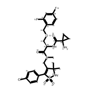 CN(CC1=C(c2ccc(Cl)cc2)S(=O)(=O)NC1(C)C)C(=O)[C@@H](COCc1ccc(F)cc1F)NC(=O)C1(N)CC1